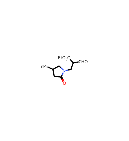 CCCC1CC(=O)N(CC(C=O)C(=O)OCC)C1